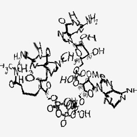 CO[C@@H]1[C@H](OP(=O)(O)OC[C@H]2O[C@@H](n3cnc4c(=O)[nH]c(N)nc43)[C@H](O)[C@@H]2O)[C@@H](COP(=O)(O)OP(=O)(O)OP(=O)(O)OC[C@H]2OC(n3c[n+](C)c4c(=O)[nH]c(N)nc43)[C@H](O)[C@@H]2CCCC(=O)N(C)C)O[C@H]1n1cnc2c(N)ncnc21